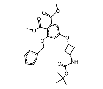 COC(=O)c1cc(O[C@H]2C[C@H](NC(=O)OC(C)(C)C)C2)cc(OCc2ccccc2)c1C(=O)OC